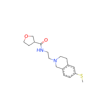 CSc1ccc2c(c1)CCN(CCNC(=O)C1CCOC1)C2